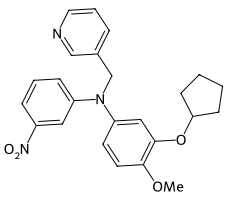 COc1ccc(N(Cc2cccnc2)c2cccc([N+](=O)[O-])c2)cc1OC1CCCC1